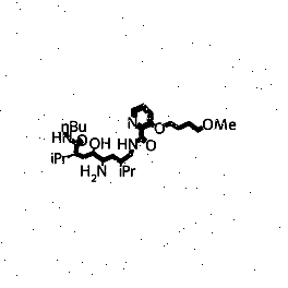 CCCCNC(=O)[C@@H](C[C@H](O)[C@@H](N)C[C@H](CNC(=O)c1ncccc1OCCCCOC)C(C)C)C(C)C